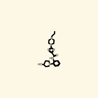 CCCN1CCN(c2nc(C(=O)Nc3ccccc3N3CCC(O)CC3)cs2)CC1